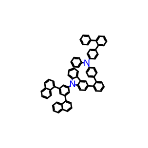 c1ccc(-c2ccccc2-c2ccc(N(c3ccccc3)c3ccc(-c4ccccc4-c4ccc5c(c4)c4ccccc4n5-c4cc(-c5cccc6ccccc56)cc(-c5cccc6ccccc56)c4)cc3)cc2)cc1